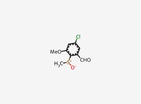 COc1cc(Cl)cc(C=O)c1[S+](C)[O-]